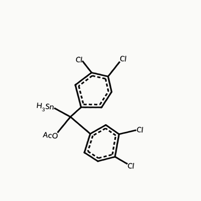 CC(=O)O[C]([SnH3])(c1ccc(Cl)c(Cl)c1)c1ccc(Cl)c(Cl)c1